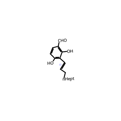 CCCCCCCC/C=C/c1c(O)ccc(C=O)c1O